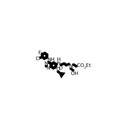 CCOC(=O)CCN(CC=CC(=O)Nc1cc2c(Nc3ccc(F)c(Cl)c3)ncnc2cc1OCC1CC1)CCO